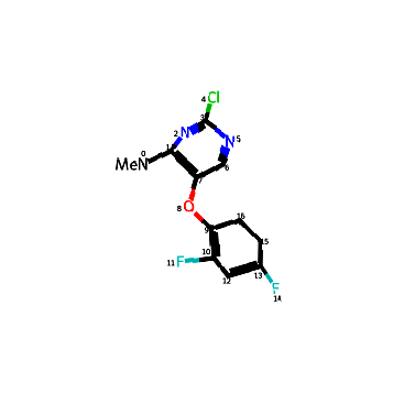 CNc1nc(Cl)ncc1OC1=C(F)C=C(F)C[CH]1